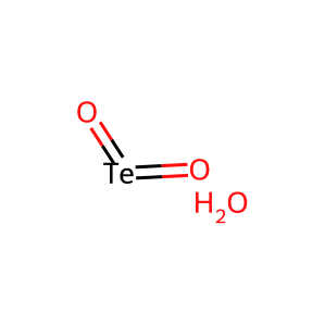 O.O=[Te]=O